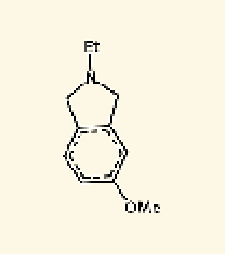 CCN1Cc2ccc(OC)cc2C1